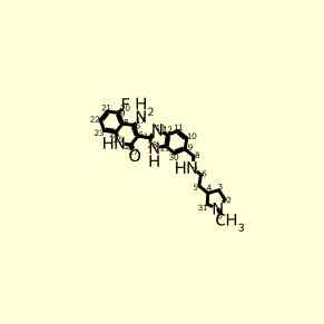 CN1CCC(CCNCc2ccc3nc(-c4c(N)c5c(F)cccc5[nH]c4=O)[nH]c3c2)C1